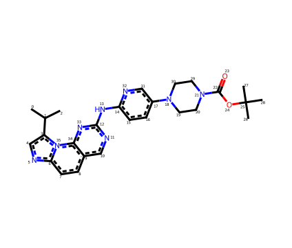 CC(C)c1cnc2ccc3cnc(Nc4ccc(N5CCN(C(=O)OC(C)(C)C)CC5)cn4)nc3n12